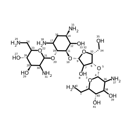 NCC1O[C@H](O[C@@H]2C(O)[C@H](O[C@@H]3C(O)[C@H](N)CC(N)[C@H]3OC3OC(CN)[C@@H](O)[C@H](O)C3N)O[C@@H]2CO)C(N)C(O)[C@@H]1O